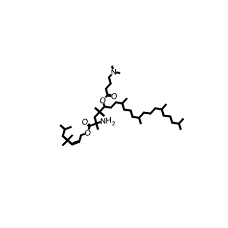 CC(C)CCCC(C)CCCC(C)CCCC(C)CCC(OC(=O)CCCN(C)C)C(C)(C)CC(C)(N)C(=O)OC/C=C\C(C)(C)CC(C)C